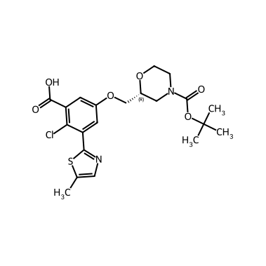 Cc1cnc(-c2cc(OC[C@H]3CN(C(=O)OC(C)(C)C)CCO3)cc(C(=O)O)c2Cl)s1